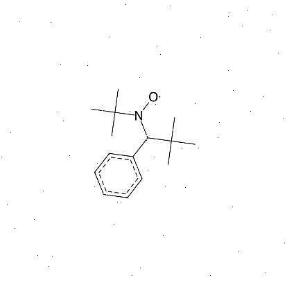 CC(C)(C)C(c1ccccc1)N([O])C(C)(C)C